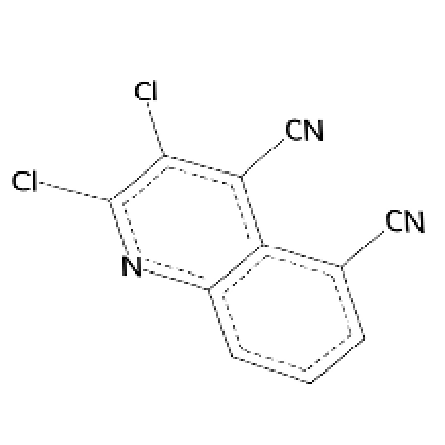 N#Cc1cccc2nc(Cl)c(Cl)c(C#N)c12